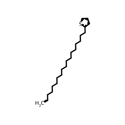 C=CCCCCCCCCCCCCCCCCc1cccs1